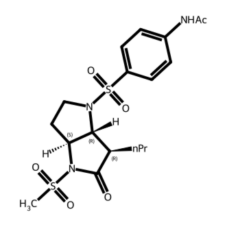 CCC[C@H]1C(=O)N(S(C)(=O)=O)[C@H]2CCN(S(=O)(=O)c3ccc(NC(C)=O)cc3)[C@H]12